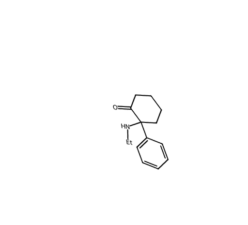 CCNC1(c2ccccc2)CCCCC1=O